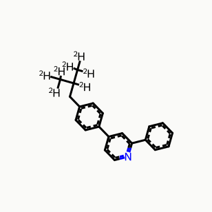 [2H]C([2H])([2H])C([2H])(Cc1ccc(-c2ccnc(-c3ccccc3)c2)cc1)C([2H])([2H])[2H]